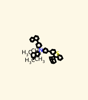 CC1(C)CCC(C)(C)c2cc(N(c3ccc(-c4ccc5c(c4)C4(c6ccccc6S5)C5CC6CC7CC4C75C6)cc3)c3ccc(-c4cccc5ccccc45)cc3)ccc21